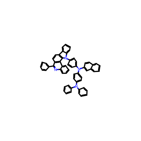 c1ccc(-c2nc3ccccc3c3c2ccc2c4ccccc4n(-c4ccc(N(c5ccc(N(c6ccccc6)c6ccccc6)cc5)c5ccc6ccccc6c5)cc4)c23)cc1